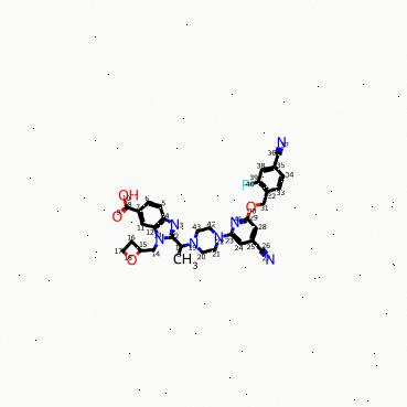 CC(c1nc2ccc(C(=O)O)cc2n1CC1CCO1)N1CCN(c2cc(C#N)cc(OCc3ccc(C#N)cc3F)n2)CC1